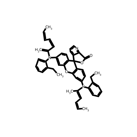 C=C(/C=C\C=C/C)N(c1ccc2c(c1)Oc1cc(N(/C(C)=C/C=C\C)c3ccccc3CC)ccc1C21OC(=O)c2ncccc21)c1ccccc1CC